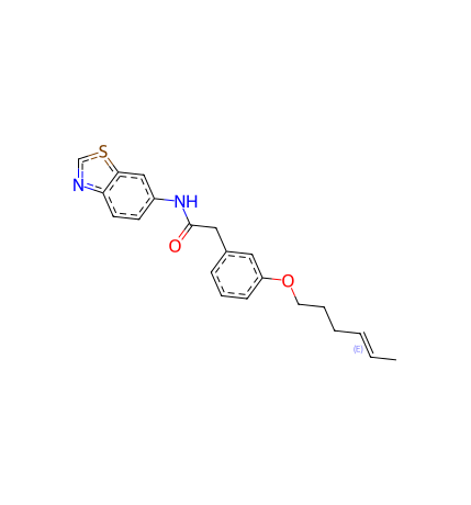 C/C=C/CCCOc1cccc(CC(=O)Nc2ccc3ncsc3c2)c1